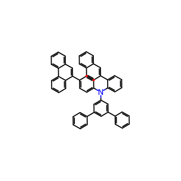 c1ccc(-c2cc(-c3ccccc3)cc(N(c3ccc(-c4cc5ccccc5c5ccccc45)cc3)c3ccccc3-c3ccc4ccccc4c3)c2)cc1